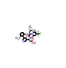 Cc1cccc(C)c1-c1cncc([C@H](CC(=O)O)NC(=O)[C@@H](CC(C)C)n2ccc(C(F)(F)F)cc2=O)c1